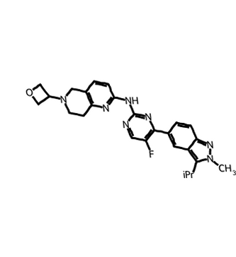 CC(C)c1c2cc(-c3nc(Nc4ccc5c(n4)CCN(C4COC4)C5)ncc3F)ccc2nn1C